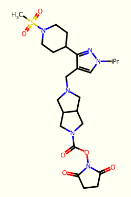 CC(C)n1cc(CN2CC3CN(C(=O)ON4C(=O)CCC4=O)CC3C2)c(C2CCN(S(C)(=O)=O)CC2)n1